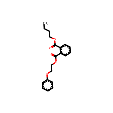 CCCCOC(=O)c1ccccc1C(=O)OCCOc1ccccc1